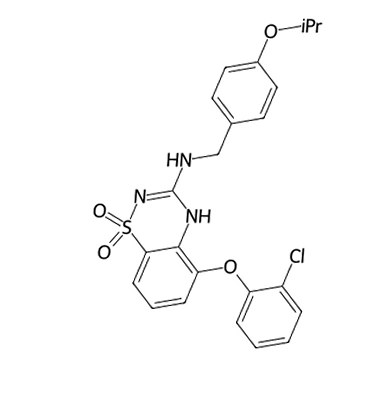 CC(C)Oc1ccc(CNC2=NS(=O)(=O)c3cccc(Oc4ccccc4Cl)c3N2)cc1